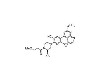 C=Cc1cc(-c2cc(C#N)c(N3CCN(C(=O)CCOC)C(C4CC4)C3)nc2C2CC2)c2cccnc2n1